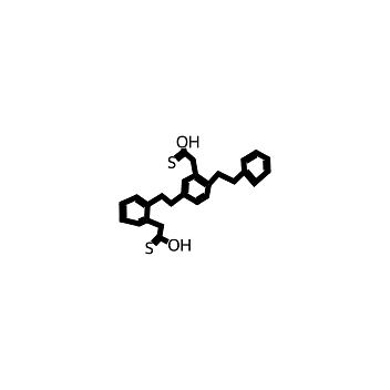 OC(=S)Cc1ccccc1CCc1ccc(CCc2ccccc2)c(CC(O)=S)c1